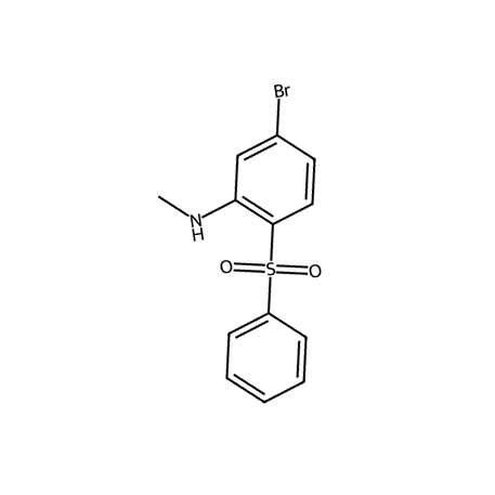 CNc1cc(Br)ccc1S(=O)(=O)c1ccccc1